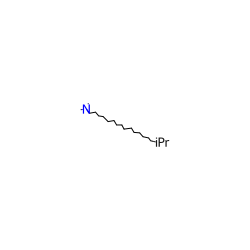 CC(C)CCCCCCCCCCCCCCCN(C)C